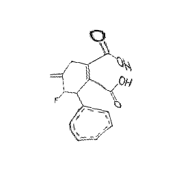 C=C1CC(C(=O)O)=C(C(=O)O)C(c2ccccc2)C1F